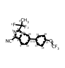 CC(F)(F)c1nc(C#N)c2ccc(-c3ccc(OC(F)(F)F)cc3)cn12